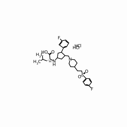 CC(C)C[C@@H](NC1CC(CN2CCC(CCS(=O)(=O)c3ccc(F)cc3)CC2)C(c2cccc(F)c2)C1)C(=O)O.Cl.Cl